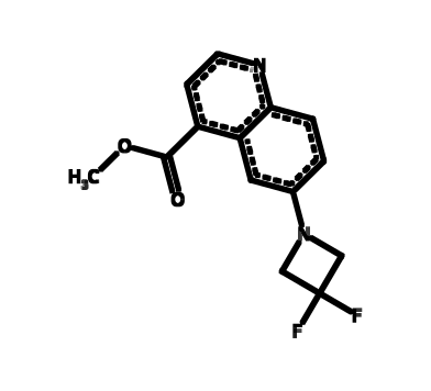 COC(=O)c1ccnc2ccc(N3CC(F)(F)C3)cc12